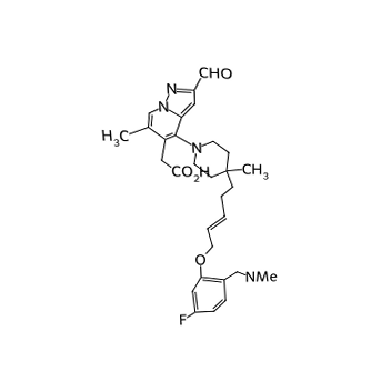 CNCc1ccc(F)cc1OC/C=C/CCC1(C)CCN(c2c(CC(=O)O)c(C)cn3nc(C=O)cc23)CC1